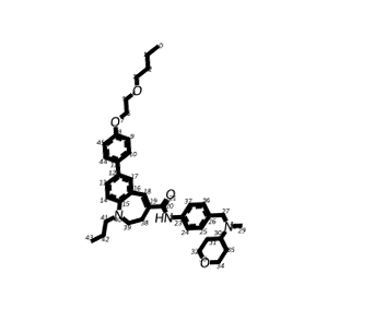 CCCCOCCOc1ccc(-c2ccc3c(c2)C=C(C(=O)Nc2ccc(CN(C)C4CCOCC4)cc2)CCN3CCC)cc1